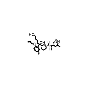 C=CCOc1ccc(F)cc1[C@](O)(CCCCO)[C@@H]1CCCN(C(=O)N[C@H](CNC)CC(C)C)C1